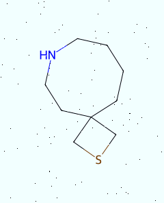 C1CCC2(CCNC1)CSC2